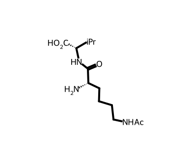 CC(=O)NCCCC[C@H](N)C(=O)N[C@H](C(=O)O)C(C)C